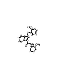 O=C(N[C@H]1CCCC[C@@H]1O)c1cc(Cc2cccnc2Cl)c2cccnn12